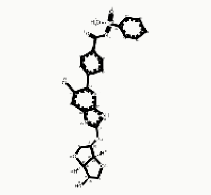 C[S@@](=O)(=NC(=O)c1ccc(-c2nc3[nH]c(O[C@@H]4CO[C@H]5[C@@H]4OC[C@H]5O)nc3cc2Cl)cc1)c1ccccc1